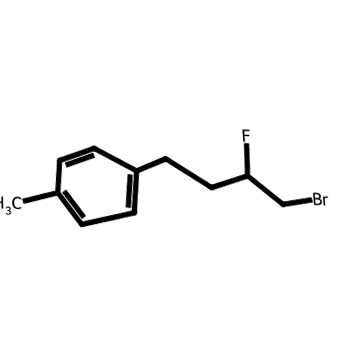 Cc1ccc(CCC(F)CBr)cc1